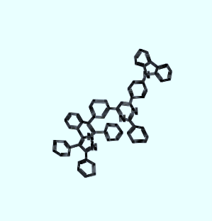 c1ccc(-c2nc(-c3ccc(-n4c5ccccc5c5ccccc54)cc3)cc(-c3cccc(-c4c(-c5ccccc5)n5nc(-c6ccccc6)c(-c6ccccc6)c5c5ccccc45)c3)n2)cc1